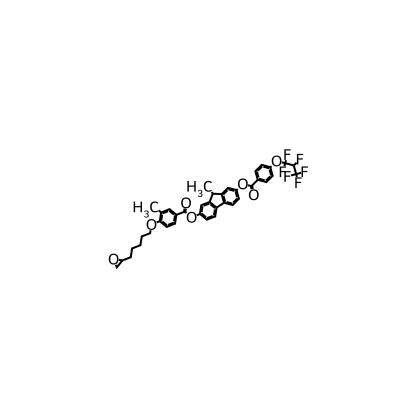 Cc1cc(C(=O)Oc2ccc3c(c2)C(C)c2cc(OC(=O)c4ccc(OC(F)(F)C(F)C(F)(F)F)cc4)ccc2-3)ccc1OCCCCCC1CO1